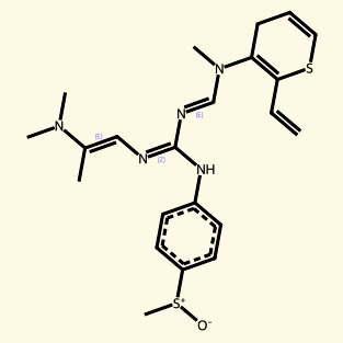 C=CC1=C(N(C)/C=N/C(=N\C=C(/C)N(C)C)Nc2ccc([S+](C)[O-])cc2)CC=CS1